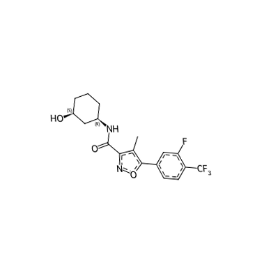 Cc1c(C(=O)N[C@@H]2CCC[C@H](O)C2)noc1-c1ccc(C(F)(F)F)c(F)c1